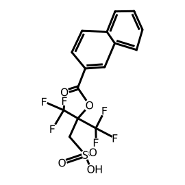 O=C(OC(CS(=O)(=O)O)(C(F)(F)F)C(F)(F)F)c1ccc2ccccc2c1